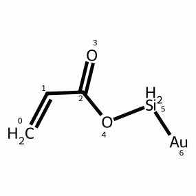 C=CC(=O)O[SiH2][Au]